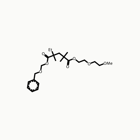 CCC(C)(CC(C)(C)C(=O)OCCOCCOC)C(=O)OCOCc1ccccc1